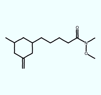 C=C1CC(C)CC(CCCCC(=O)N(C)OC)C1